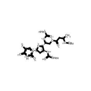 CCCCCCC(=O)OC(COC(=O)CC(C)OCCCC)[C@H]1O[C@@H](n2cc(F)c(=O)[nH]c2=O)C[C@@H]1OC(=O)CCCCCC